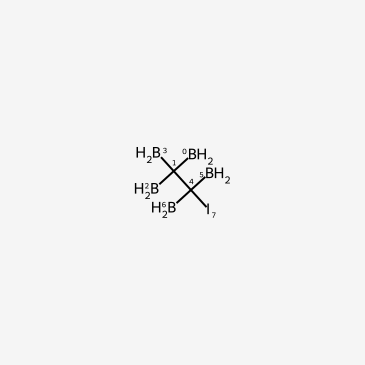 BC(B)(B)C(B)(B)I